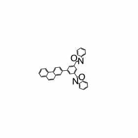 c1ccc2c(c1)ccc1cc(-c3cc(-c4nc5ccccc5o4)cc(-c4nc5ccccc5o4)c3)ccc12